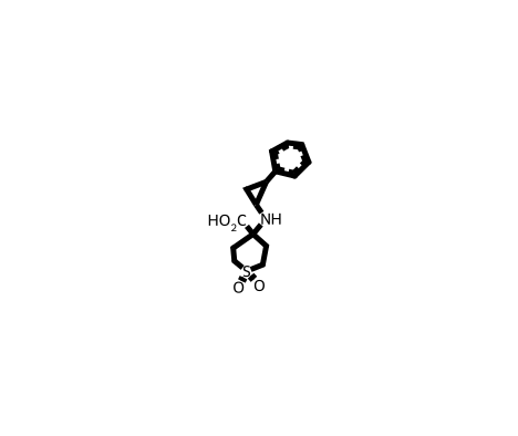 O=C(O)C1(NC2CC2c2ccccc2)CCS(=O)(=O)CC1